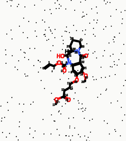 C=CCOC(=O)N1c2cc(OCCCC(=O)OC)c(OC)cc2C(=O)N2CCCC[C@H]2C1O